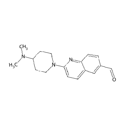 CN(C)C1CCN(c2ccc3cc(C=O)ccc3n2)CC1